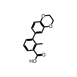 Cc1c(C(=O)O)cccc1-c1ccc2c(c1)OCCO2